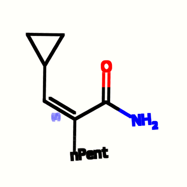 CCCCC/C(=C/C1CC1)C(N)=O